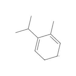 CC1=C[CH]CC=C1C(C)C